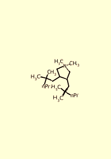 CCCC(C)(C)CC1C[N+](C)(C)CC1CC(C)(C)CCC